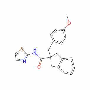 COc1ccc(CC2(C(=O)Nc3nccs3)Cc3ccccc3C2)cc1